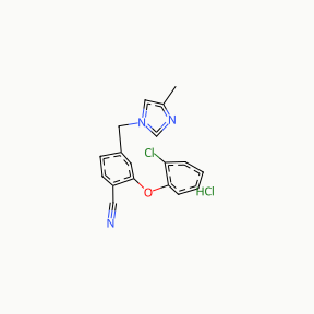 Cc1cn(Cc2ccc(C#N)c(Oc3ccccc3Cl)c2)cn1.Cl